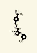 CC(C)(C)n1ncc(Oc2cccc(C(F)(F)F)c2)c1C(=O)NOCc1ccc(C(N)=NO)cc1